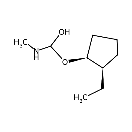 CC[C@@H]1CCC[C@@H]1OC(O)NC